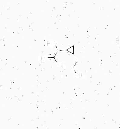 COC[C@H]1C[C@@H]1N(C)C(C)C